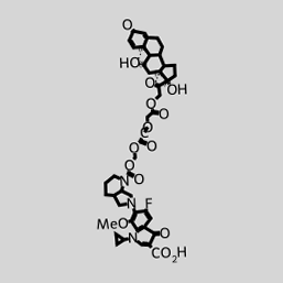 COc1c(N2CC3CCCN(C(=O)OCOC(=O)COCC(=O)OCC(=O)[C@@]4(O)CCC5C6CCC7=CC(=O)C=C[C@]7(C)C6[C@@H](O)C[C@@]54C)C3C2)c(F)cc2c(=O)c(C(=O)O)cn(C3CC3)c12